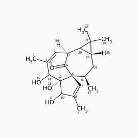 CC1=C[C@@H]2C(=O)[C@]3(C=C(C)C(O)[C@@]3(O)C1O)[C@H](C)C[C@@H]1C2C1(C)C